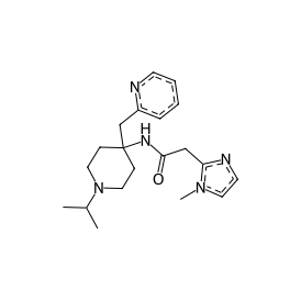 CC(C)N1CCC(Cc2ccccn2)(NC(=O)Cc2nccn2C)CC1